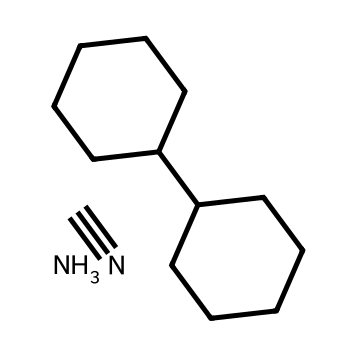 C#N.C1CCC(C2CCCCC2)CC1.N